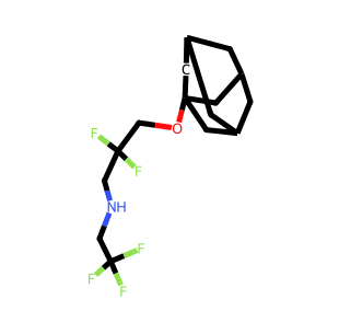 FC(F)(F)CNCC(F)(F)COC12CC3CC(CC(C3)C1)C2